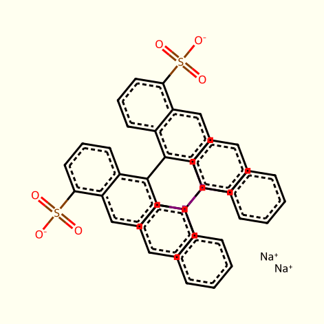 O=S(=O)([O-])c1cccc2c(-c3c(P(c4ccccc4)c4ccccc4)ccc4c(S(=O)(=O)[O-])cccc34)c(P(c3ccccc3)c3ccccc3)ccc12.[Na+].[Na+]